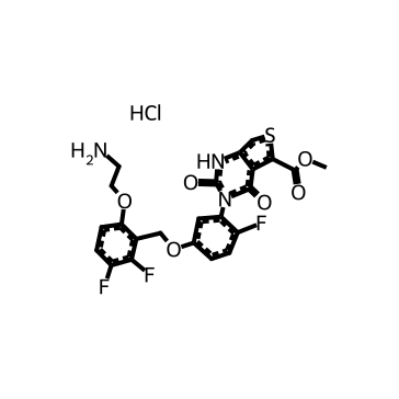 COC(=O)c1scc2[nH]c(=O)n(-c3cc(OCc4c(OCCN)ccc(F)c4F)ccc3F)c(=O)c12.Cl